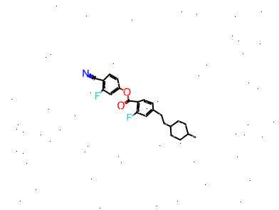 CC1CCC(CCc2ccc(C(=O)Oc3ccc(C#N)c(F)c3)c(F)c2)CC1